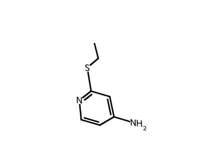 CCSc1cc(N)ccn1